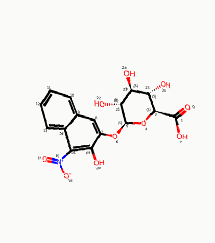 O=C(O)[C@H]1O[C@@H](Oc2cc3ccccc3c([N+](=O)[O-])c2O)[C@H](O)[C@@H](O)[C@@H]1O